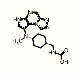 CN(c1c[nH]c2ncc3nncn3c12)[C@H]1CC[C@H](CNC(=O)O)CC1